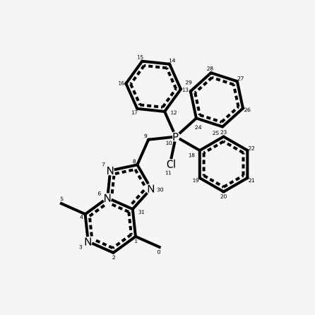 Cc1cnc(C)n2nc(CP(Cl)(c3ccccc3)(c3ccccc3)c3ccccc3)nc12